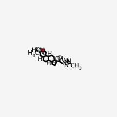 CCOC[C@]12CC[C@@](C)(O)C[C@@H]1CC[C@H]1[C@@H]3CC[C@H](C(=O)Cn4nnc(C)n4)[C@@]3(C)CC[C@@H]12